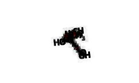 C#C[C@]1(O)CC[C@H]2[C@@H]3CCc4cc(O)ccc4[C@H]3[C@@H](OCCCCCCCCCCC(=O)O)C[C@@]21C